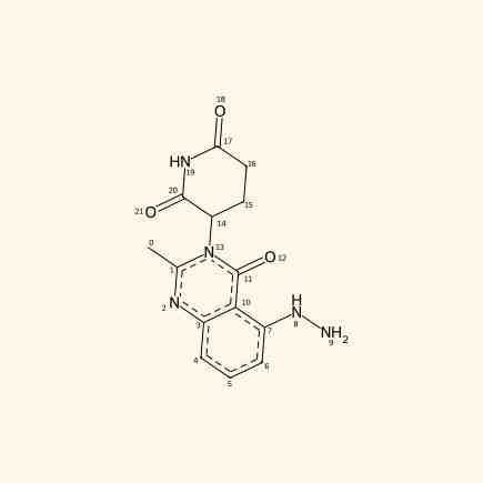 Cc1nc2cccc(NN)c2c(=O)n1C1CCC(=O)NC1=O